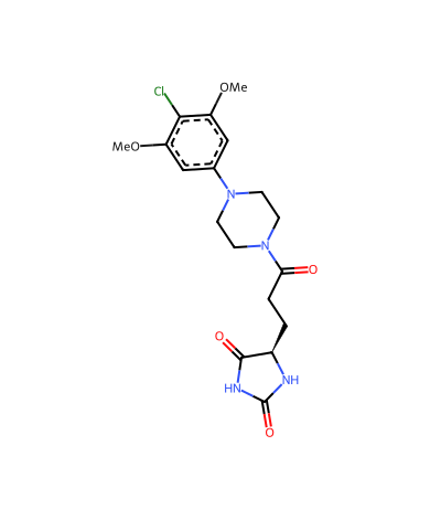 COc1cc(N2CCN(C(=O)CC[C@H]3NC(=O)NC3=O)CC2)cc(OC)c1Cl